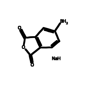 Bc1ccc2c(c1)C(=O)OC2=O.[NaH]